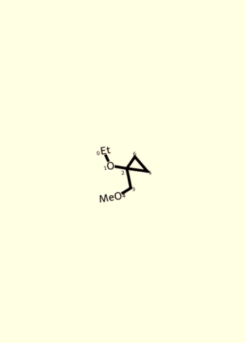 CCOC1(COC)CC1